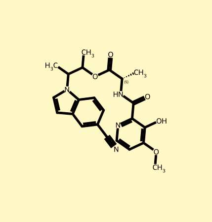 COc1ccnc(C(=O)N[C@@H](C)C(=O)OC(C)C(C)n2ccc3cc(C#N)ccc32)c1O